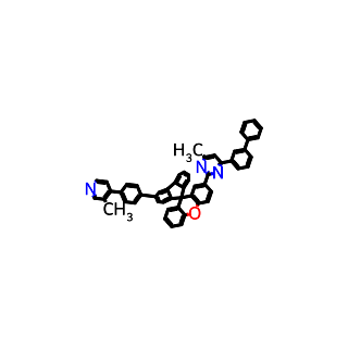 Cc1cc(-c2cccc(-c3ccccc3)c2)nc(-c2ccc3c(c2)C2(c4ccccc4O3)c3ccccc3-c3cc(-c4ccc(-c5ccncc5C)cc4)ccc32)n1